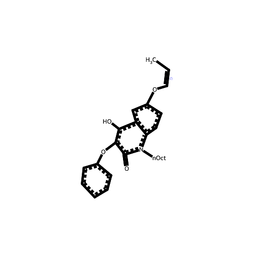 C/C=C\Oc1ccc2c(c1)c(O)c(Oc1ccccc1)c(=O)n2CCCCCCCC